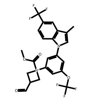 COC(=O)[N+]1(c2cc(OC(F)(F)F)cc(-n3cc(C)c4cc(C(F)(F)F)ccc43)c2)CC([C]=O)C1